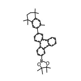 Cc1cc2c(cc1-c1ccc3c4ccc(B5OC(C)(C)C(C)(C)O5)cc4c4ccccc4c3c1)C(C)(C)CCC2(C)C